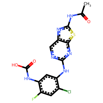 CC(=O)Nc1nc2cnc(Nc3cc(NC(=O)O)c(F)cc3Cl)nc2s1